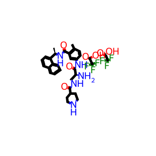 Cc1ccc(NC(=O)[C@@H](N)CNC(=O)C2CCNCC2)cc1C(=O)N[C@H](C)c1cccc2ccccc12.O=C(O)C(F)(F)F.O=C(O)C(F)(F)F